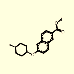 C[C@H]1CC[C@@H](Oc2ccc3cc(C(=O)OI)ccc3c2)CC1